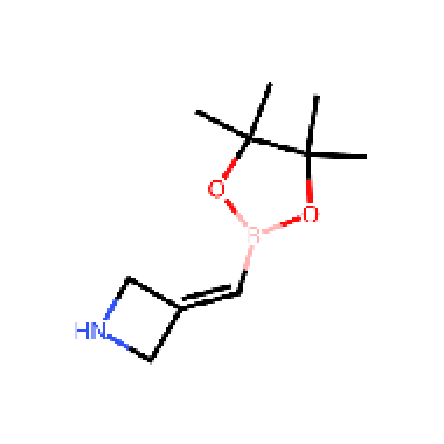 CC1(C)OB(C=C2CNC2)OC1(C)C